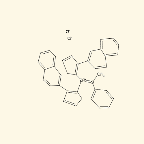 C[Si](c1ccccc1)=[Zr+2]([C]1=C(c2ccc3ccccc3c2)C=CC1)[C]1=C(c2ccc3ccccc3c2)C=CC1.[Cl-].[Cl-]